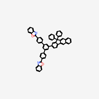 c1ccc(C2(c3ccccc3)c3cc(-c4cc(-c5ccc(-c6nc7ccccc7o6)cc5)cc(-c5ccc(-c6nc7ccccc7o6)cc5)c4)ccc3-c3cc4ccccc4cc32)cc1